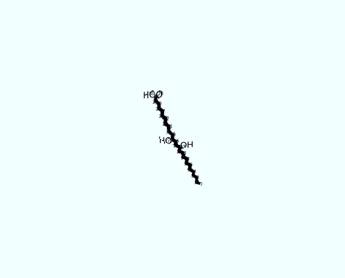 CCCCCCCCCCCCC(O)CCC(O)CCCCCCCCCCC(=O)O